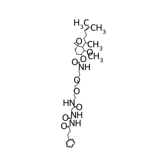 COC1C(OC(=O)NCCOCCOCCNC(=O)CNC(=O)NC(=O)CCc2ccccc2)CC[C@]2(CO2)C1[C@H](C)CCC=C(C)C